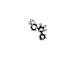 CSN1CCCN(c2nc(-c3ccncc3)[nH]c(=O)c2Cl)CC1